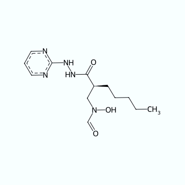 CCCCC[C@@H](CN(O)C=O)C(=O)NNc1ncccn1